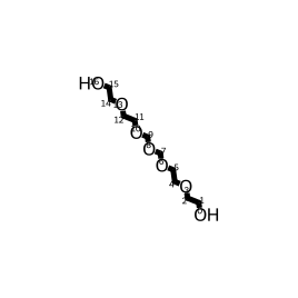 OCCOCCOCOCOCCOCCO